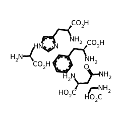 C[C@H](N)C(=O)O.NC(=O)C[C@H](N)C(=O)O.NCC(=O)O.N[C@@H](Cc1c[nH]cn1)C(=O)O.N[C@@H](Cc1ccccc1)C(=O)O